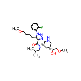 COCCCCc1c(C(=O)N(CC(C)C)[C@@H]2CNC[C@H](C(O)COC)C2)nnn1-c1ccccc1F